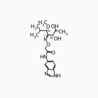 CO[C@H](/C(=N/OCC(=O)Nc1ccc2[nH]cnc2c1)[C@@H](O)[C@@H](C)O)C(C)C